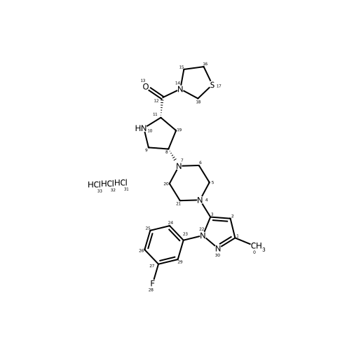 Cc1cc(N2CCN([C@@H]3CN[C@H](C(=O)N4CCSC4)C3)CC2)n(-c2cccc(F)c2)n1.Cl.Cl.Cl